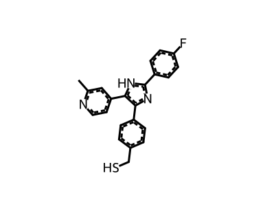 Cc1cc(-c2[nH]c(-c3ccc(F)cc3)nc2-c2ccc(CS)cc2)ccn1